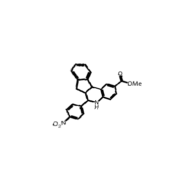 COC(=O)c1ccc2c(c1)C1c3ccccc3CC1C(c1ccc([N+](=O)[O-])cc1)N2